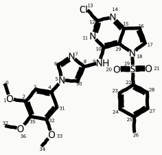 COc1cc(-n2cnc(Nc3nc(Cl)nc4ccn(S(=O)(=O)c5ccc(C)cc5)c34)c2)cc(OC)c1OC